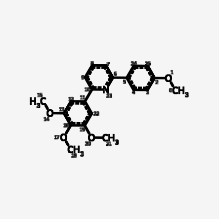 COc1ccc(-c2cccc(-c3cc(OC)c(OC)c(OC)c3)n2)cc1